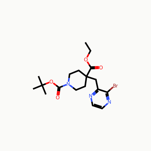 CCOC(=O)C1(Cc2nccnc2Br)CCN(C(=O)OC(C)(C)C)CC1